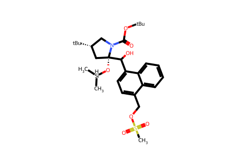 C[SiH](C)O[C@]1(C(O)c2ccc(COS(C)(=O)=O)c3ccccc23)C[C@H](C(C)(C)C)CN1C(=O)OC(C)(C)C